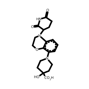 O=C1CCC(N2CCOc3c(N4CCC(O)(C(=O)O)CC4)cccc32)C(=O)N1